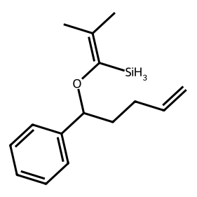 C=CCCC(OC([SiH3])=C(C)C)c1ccccc1